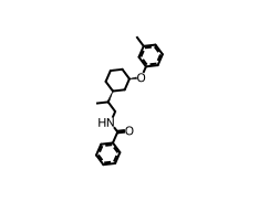 Cc1cccc(O[C@@H]2CCC[C@H](C(C)CNC(=O)c3ccccc3)C2)c1